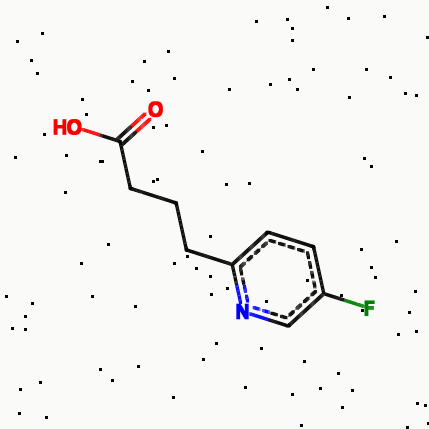 O=C(O)CCCc1ccc(F)cn1